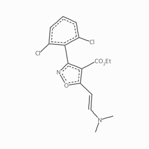 CCOC(=O)c1c(-c2c(Cl)cccc2Cl)noc1/C=C/N(C)C